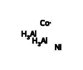 [AlH3].[AlH3].[Co].[Ni]